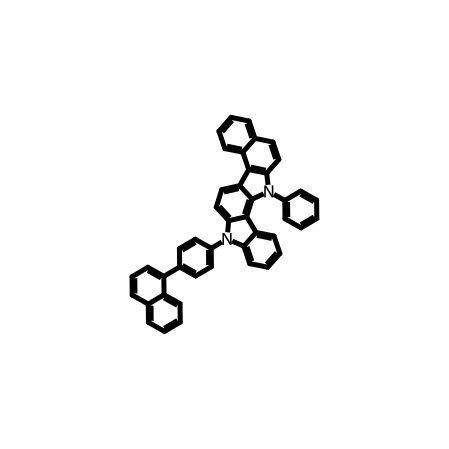 c1ccc(-n2c3ccc4ccccc4c3c3ccc4c(c5ccccc5n4-c4ccc(-c5cccc6ccccc56)cc4)c32)cc1